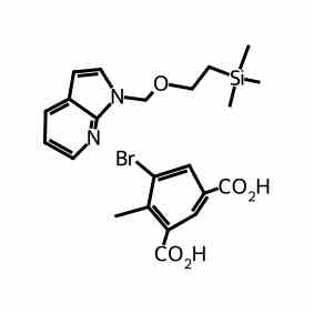 C[Si](C)(C)CCOCn1ccc2cccnc21.Cc1c(Br)cc(C(=O)O)cc1C(=O)O